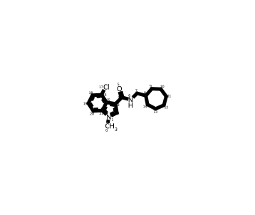 Cn1cc(C(=O)NCC2CCCCCC2)c2c(Cl)cccc21